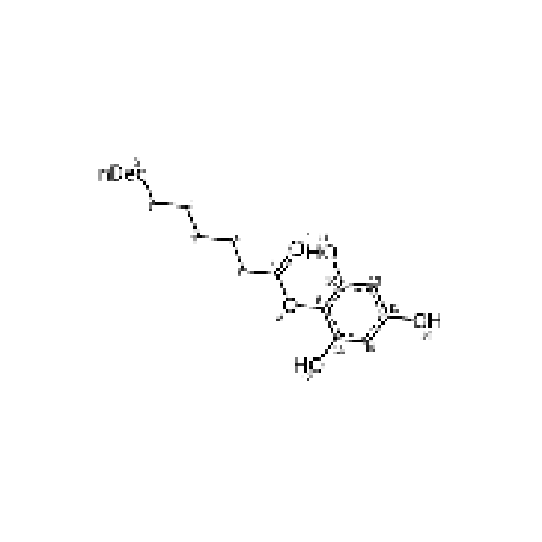 CCCCCCCCCCCCCCCC(=O)Oc1c(O)cc(O)cc1O